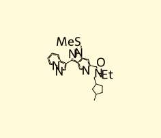 CCN(CC1CCC(C)C1)C(=O)c1cc2c(cn1)c(-c1cnn3ccccc13)nn2CSC